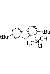 CC(C)(C)c1ccc2c(c1)Cc1c-2ccc(C(C)(C)C)c1[Si](C)(C)Cl